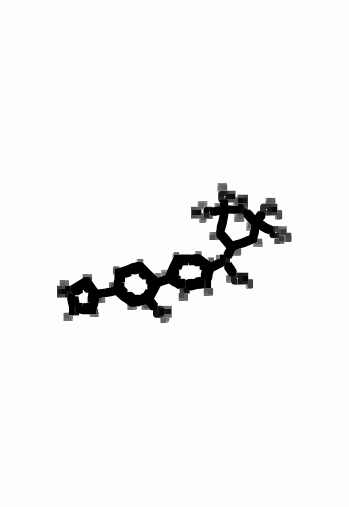 CN(c1ccc(-c2ccc(-c3cn[nH]c3)cc2O)nn1)C1CC(C)(C)NC(C)(C)C1